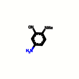 CNc1ccc(N)cc1N=O